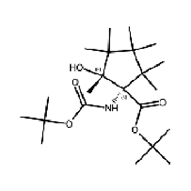 CC(C)(C)OC(=O)N[C@@]1(C(=O)OC(C)(C)C)C(C)(C)C(C)(C)C(C)(C)[C@@]1(C)O